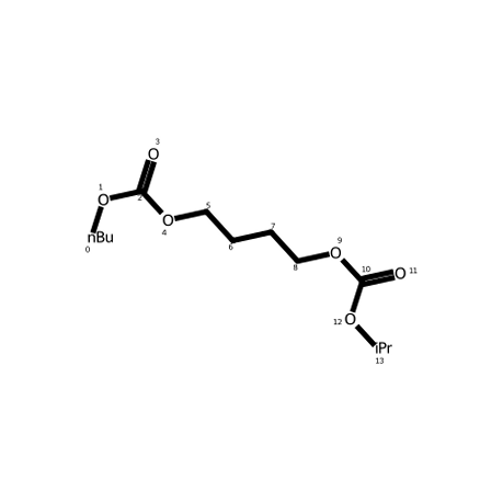 CCCCOC(=O)OC[CH]CCOC(=O)OC(C)C